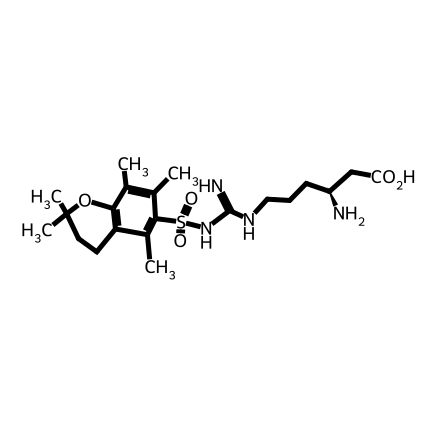 Cc1c(C)c(S(=O)(=O)NC(=N)NCCC[C@H](N)CC(=O)O)c(C)c2c1OC(C)(C)CC2